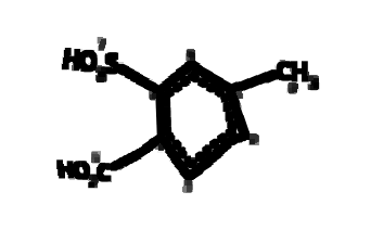 Cc1ccc(C(=O)O)c(S(=O)(=O)O)c1